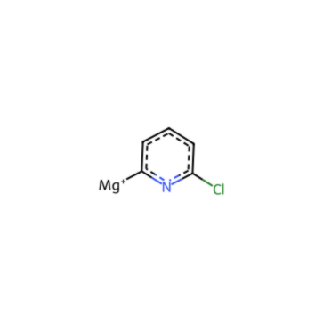 [Mg+][c]1cccc(Cl)n1